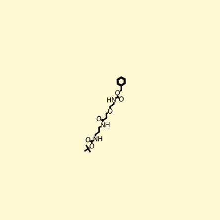 CC(C)(C)OC(=O)NCCCNC(=O)CCOCCNC(=O)OCc1ccccc1